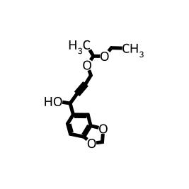 CCOC(C)OCC#CC(O)c1ccc2c(c1)OCO2